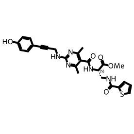 COC(=O)[C@H](CNC(=O)c1cccs1)NC(=O)c1c(C)nc(NCC#Cc2ccc(O)cc2)nc1C